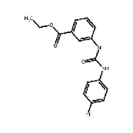 CCOC(=O)c1cccc(NC(=O)Nc2ccc(Cl)cc2)c1